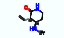 C=C[C@@H]1C(=O)NCC[C@H]1NC(C)C